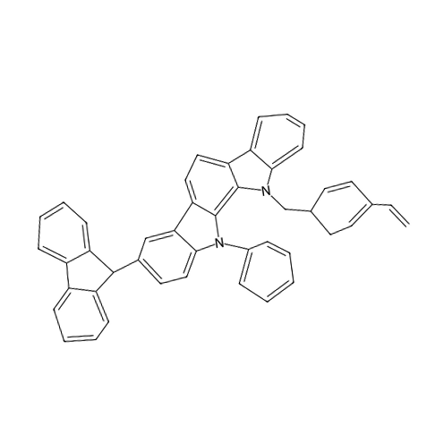 C=CC1=CCC(Cn2c3ccccc3c3ccc4c5cc(C6c7ccccc7-c7ccccc76)ccc5n(-c5ccccc5)c4c32)C=C1